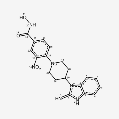 N=c1[nH]c2ccccc2n1C1CCN(c2ccc(C(=O)NO)cc2[N+](=O)[O-])CC1